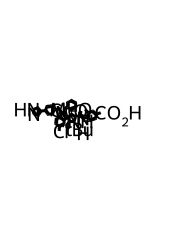 COc1cc(C(=O)O)ccc1NC(=O)[C@@H]1NC(CC(C)(C)C)[C@@]2(CN(Cc3ccc(-c4cn[nH]c4)cc3)c3ccc(Cl)cc32)[C@H]1c1ccccc1Cl